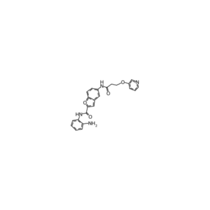 Nc1ccccc1NC(=O)c1cc2cc(NC(=O)CCOc3cccnc3)ccc2o1